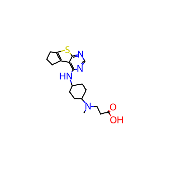 CN(CCC(=O)O)C1CCC(Nc2ncnc3sc4c(c23)CCC4)CC1